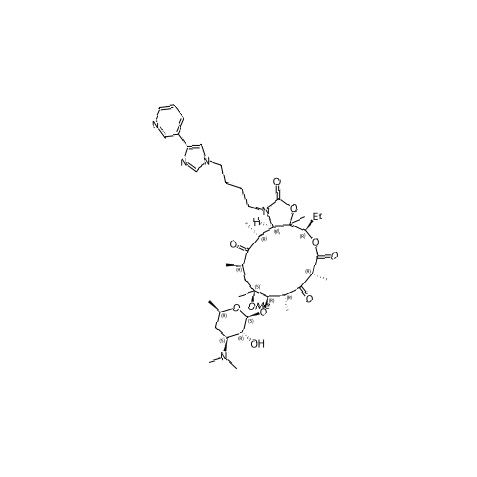 CC[C@H]1OC(=O)[C@H](C)C(=O)[C@H](C)[C@@H](O[C@@H]2O[C@H](C)C[C@H](N(C)C)[C@H]2O)[C@@](C)(OC)C[C@@H](C)C(=O)[C@H](C)[C@H]2N(CCCCn3cnc(-c4cccnc4)c3)C(=O)OC12C